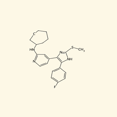 CSc1nc(-c2ccnc(NC3CCCCCC3)c2)c(-c2ccc(F)cc2)[nH]1